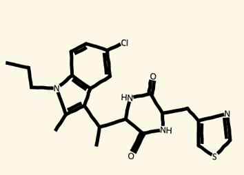 CCCn1c(C)c(C(C)C2NC(=O)C(Cc3cscn3)NC2=O)c2cc(Cl)ccc21